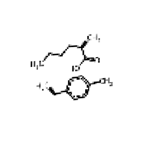 C=C(CCCC)C(=O)O.C=Cc1ccc(C)cc1